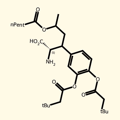 CCCCCC(=O)OC(C)CC(c1ccc(OC(=O)CC(C)(C)C)c(OC(=O)CC(C)(C)C)c1)[C@H](N)C(=O)O